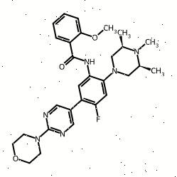 COc1ccccc1C(=O)Nc1cc(-c2cnc(N3CCOCC3)nc2)c(F)cc1N1C[C@@H](C)N(C)[C@@H](C)C1